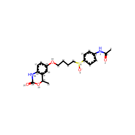 CC(=O)Nc1ccc([S+]([O-])CCCCOc2ccc3c(c2)C(C)OC(=O)N3)cc1